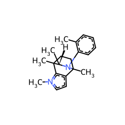 Cc1ccccc1N1[C@@H](C)C2(C)CCC1(C)c1ccn(C)c12